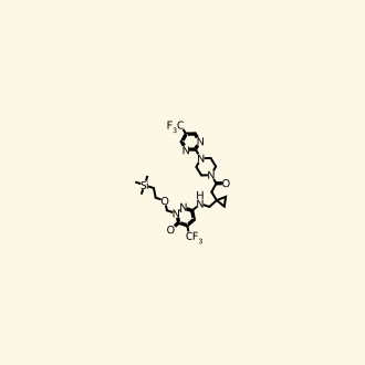 C[Si](C)(C)CCOCn1nc(NCC2(CC(=O)N3CCN(c4ncc(C(F)(F)F)cn4)CC3)CC2)cc(C(F)(F)F)c1=O